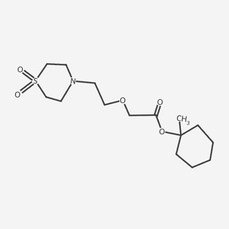 CC1(OC(=O)COCCN2CCS(=O)(=O)CC2)CCCCC1